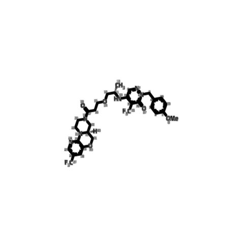 COc1ccc(Cn2ncc(N[C@@H](C)COCCC(=O)N3CCN4c5ncc(C(F)(F)F)cc5OC[C@@H]4C3)c(C(F)(F)F)c2=O)cc1